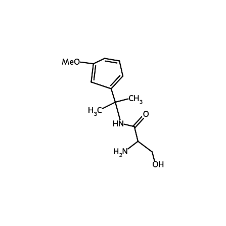 COc1cccc(C(C)(C)NC(=O)C(N)CO)c1